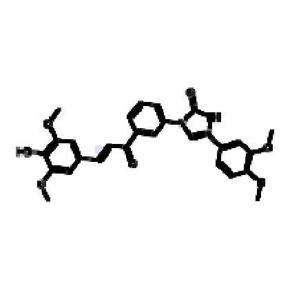 COc1ccc(-c2cn(-c3cccc(C(=O)/C=C/c4cc(OC)c(O)c(OC)c4)c3)c(=O)[nH]2)cc1OC